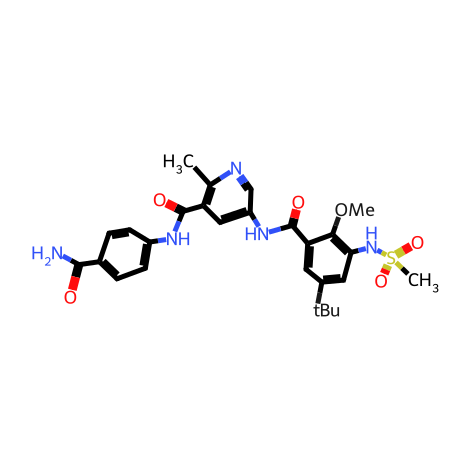 COc1c(NS(C)(=O)=O)cc(C(C)(C)C)cc1C(=O)Nc1cnc(C)c(C(=O)Nc2ccc(C(N)=O)cc2)c1